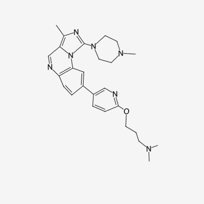 Cc1nc(N2CCN(C)CC2)n2c1cnc1ccc(-c3ccc(OCCCN(C)C)nc3)cc12